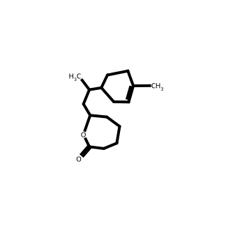 CC1=CCC(C(C)CC2CCCCC(=O)O2)CC1